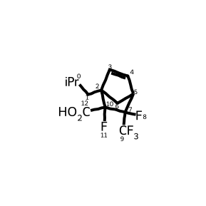 CC(C)CC12C=CC(C1)C(F)(C(F)(F)F)C2(F)C(=O)O